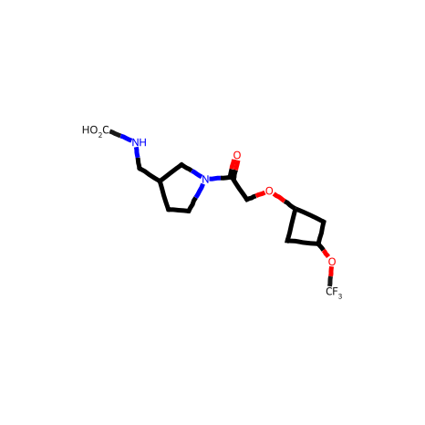 O=C(O)NCC1CCN(C(=O)COC2CC(OC(F)(F)F)C2)C1